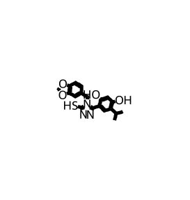 CC(C)c1cc(-c2nnc(S)n2Cc2ccc3c(c2)OCO3)c(O)cc1O